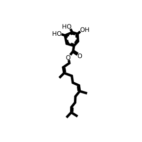 CC(C)=CCCC(C)=CCCC(C)=CCOC(=O)c1cc(O)c(O)c(O)c1